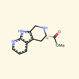 COC(=O)[C@@H]1Cc2c([nH]c3ncccc23)CN1